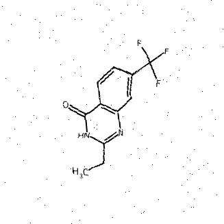 CCc1nc2cc(C(F)(F)F)ccc2c(=O)[nH]1